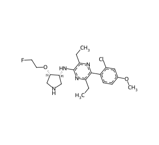 CCc1nc(-c2ccc(OC)cc2Cl)c(CC)nc1N[C@@H]1CNC[C@@H]1OCCF